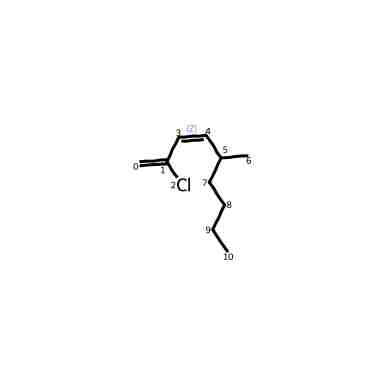 C=C(Cl)/C=C\C(C)CCCC